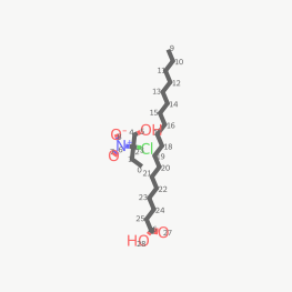 CCC(Cl)(CO)[N+](=O)[O-].CCCCCCCCCCCCCCCCCC(=O)O